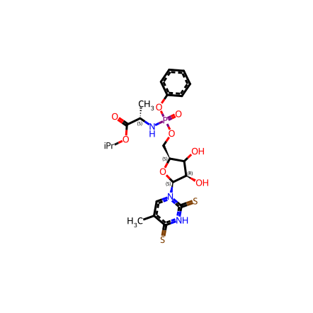 Cc1cn([C@H]2O[C@@H](COP(=O)(N[C@@H](C)C(=O)OC(C)C)Oc3ccccc3)C(O)[C@H]2O)c(=S)[nH]c1=S